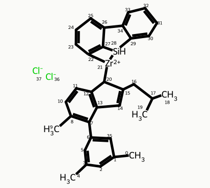 Cc1cc(C)cc(-c2c(C)ccc3c2C=C(CC(C)C)[CH]3[Zr+2]2[c]3cccc4c3[SiH]2c2ccccc2-4)c1.[Cl-].[Cl-]